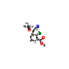 COC(=O)c1cccc(C(C#N)O[Si](C)(C)C)c1Br